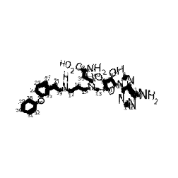 Nc1ncnc2c1ncn2[C@@H]1O[C@H](CN(CCCNCCc2cccc(Oc3ccccc3)c2)CCC(N)C(=O)O)[C@@H](O)[C@H]1O